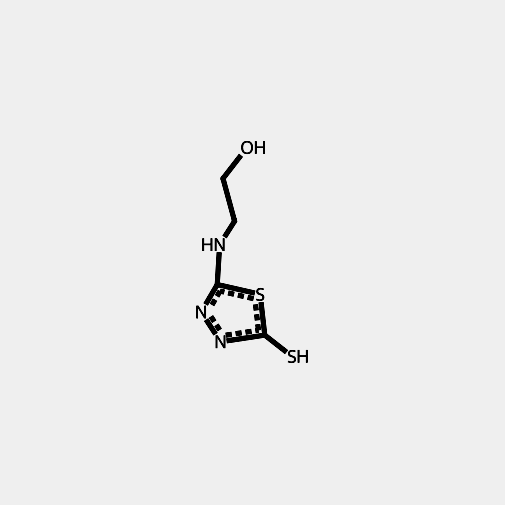 OCCNc1nnc(S)s1